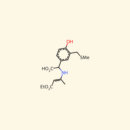 CCOC(=O)C=C(C)NC(C(=O)O)c1ccc(O)c(CSC)c1